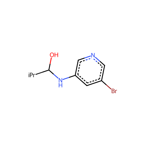 CC(C)C(O)Nc1cncc(Br)c1